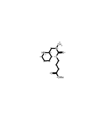 COC(=O)CCCSC(=S)N(C)CC1CCCCN1